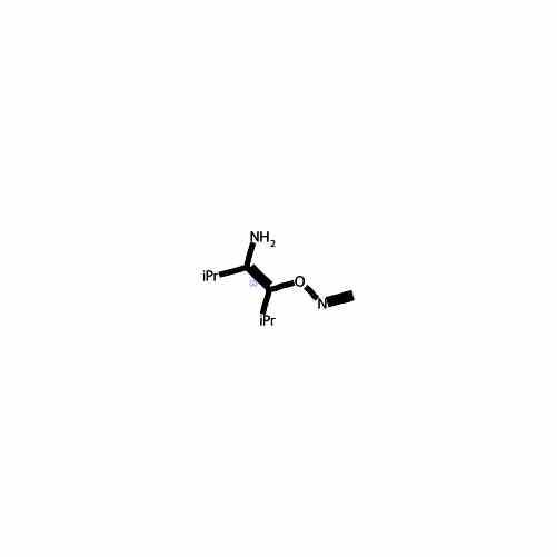 C=NO/C(=C(\N)C(C)C)C(C)C